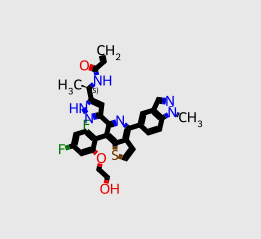 C=CC(=O)N[C@@H](C)c1cc(-c2nc(-c3ccc4c(cnn4C)c3)c3ccsc3c2-c2c(F)cc(F)cc2OCCO)n[nH]1